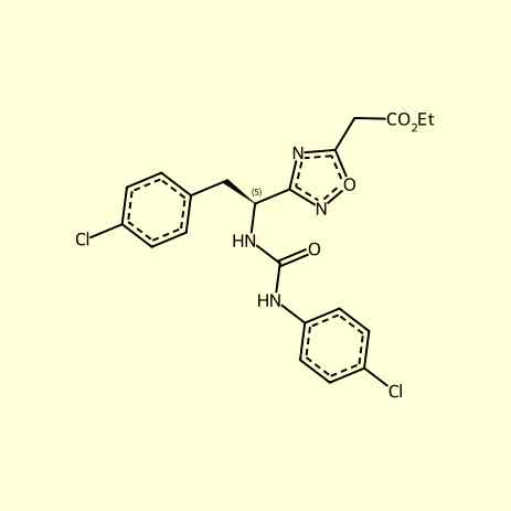 CCOC(=O)Cc1nc([C@H](Cc2ccc(Cl)cc2)NC(=O)Nc2ccc(Cl)cc2)no1